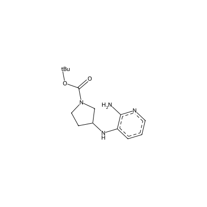 CC(C)(C)OC(=O)N1CCC(Nc2cccnc2N)C1